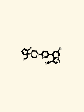 N#Cc1cnn2cc(Br)cc(-c3ccc(N4CCN(C5(CF)C=CC=C5F)CC4)nc3)c12